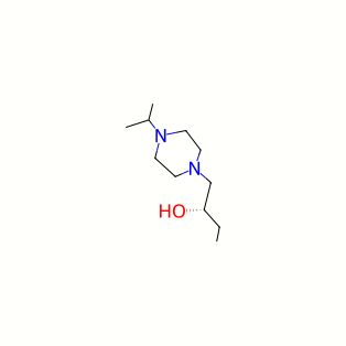 CC[C@H](O)CN1CCN(C(C)C)CC1